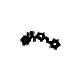 O=C(NC1CCN(CCc2ccccc2)C1)[C@@H]1CC2CCN1CC2